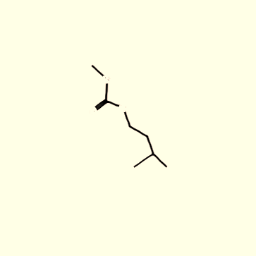 C[N]C(=O)OCCC(C)C